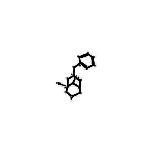 OC1C2COC[C@H]1CN(Cc1ccccc1)C2